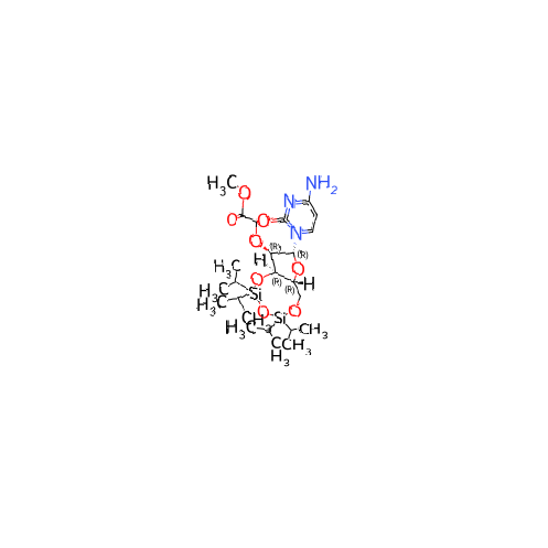 COC(=O)CO[C@@H]1[C@@H]2O[Si](C(C)C)(C(C)C)O[Si](C(C)C)(C(C)C)OC[C@H]2O[C@H]1n1ccc(N)nc1=O